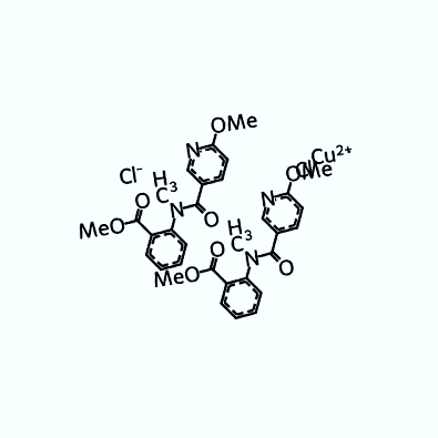 COC(=O)c1ccccc1N(C)C(=O)c1ccc(OC)nc1.COC(=O)c1ccccc1N(C)C(=O)c1ccc(OC)nc1.[Cl-].[Cl-].[Cu+2]